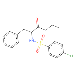 CCCC(=O)C(Cc1ccccc1)NS(=O)(=O)c1ccc(Cl)cc1